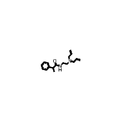 C=CCN(CC=C)CCNC(=O)C(C)c1ccccc1